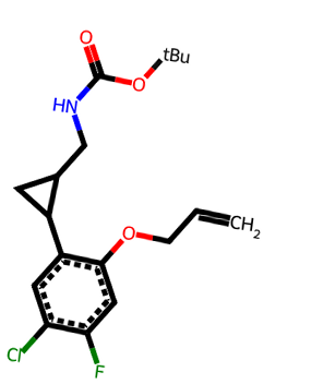 C=CCOc1cc(F)c(Cl)cc1C1CC1CNC(=O)OC(C)(C)C